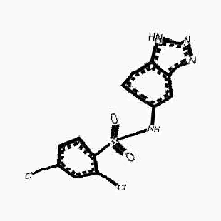 O=S(=O)(Nc1ccc2[nH]nnc2c1)c1ccc(Cl)cc1Cl